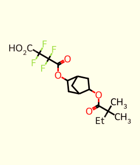 CCC(C)(C)C(=O)OC1CC2CC1CC2OC(=O)C(F)(F)C(F)(F)C(=O)O